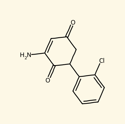 NC1=CC(=O)CC(c2ccccc2Cl)C1=O